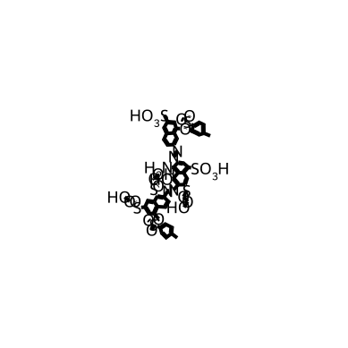 Cc1ccc(S(=O)(=O)Oc2cc(S(=O)(=O)O)cc3ccc(N=Nc4cc(S(=O)(=O)O)c5cc(SOOO)c(N=Nc6ccc7c(OS(=O)(=O)c8ccc(C)cc8)cc(SOOO)cc7c6SOOO)c(O)c5c4N)cc23)cc1